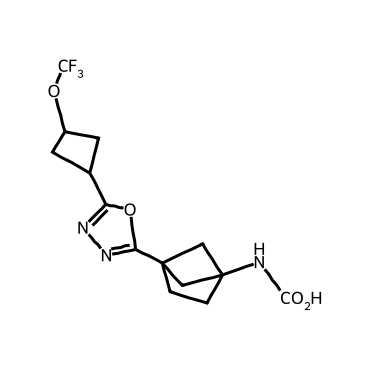 O=C(O)NC12CCC(c3nnc(C4CC(OC(F)(F)F)C4)o3)(C1)C2